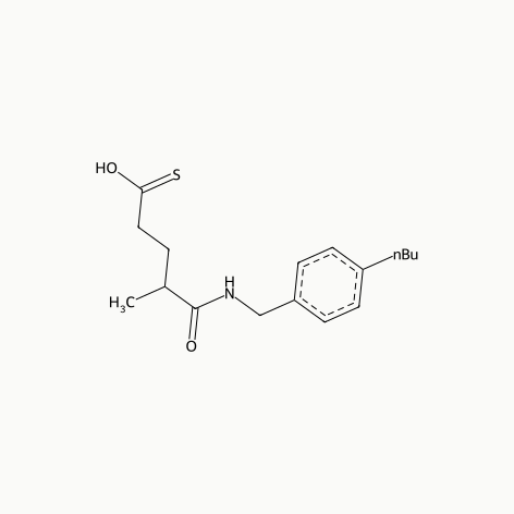 CCCCc1ccc(CNC(=O)C(C)CCC(O)=S)cc1